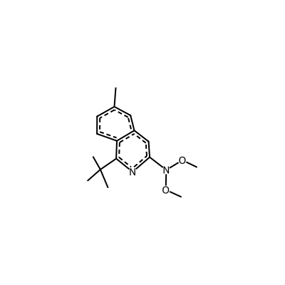 CON(OC)c1cc2cc(C)ccc2c(C(C)(C)C)n1